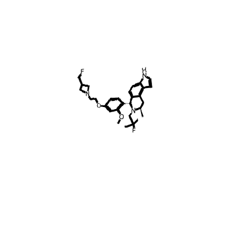 COc1cc(OCCN2CC(CF)C2)ccc1[C@@H]1c2ccc3[nH]ccc3c2C[C@@H](C)N1CC(C)(C)F